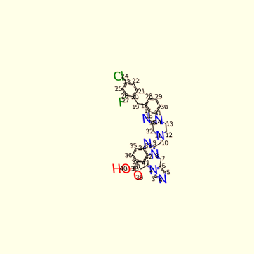 CCn1cncc1Cn1c(CN2CCn3c(nc4c(Cc5ccc(Cl)cc5F)cccc43)C2)nc2ccc(C(=O)O)cc21